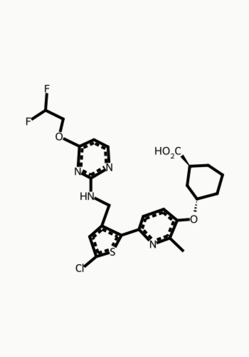 Cc1nc(-c2sc(Cl)cc2CNc2nccc(OCC(F)F)n2)ccc1O[C@H]1CCC[C@H](C(=O)O)C1